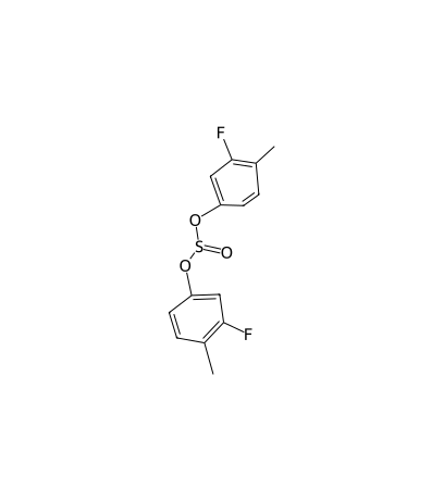 Cc1ccc(OS(=O)Oc2ccc(C)c(F)c2)cc1F